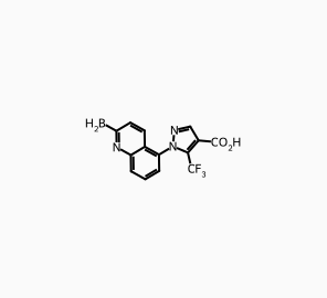 Bc1ccc2c(-n3ncc(C(=O)O)c3C(F)(F)F)cccc2n1